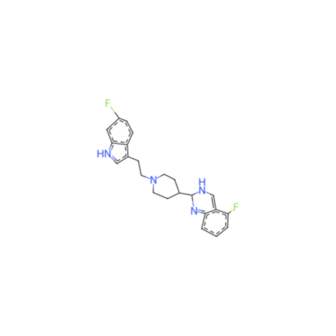 Fc1ccc2c(CCN3CCC(C4N=c5cccc(F)c5=CN4)CC3)c[nH]c2c1